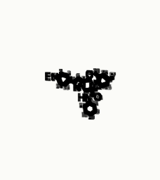 CCc1ccc(-c2cc3n(n2)CC(C)(C(=O)NC2CCCCC2)N(c2ccc(C)cc2C)C3=O)cc1